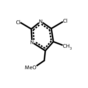 COCc1nc(Cl)nc(Cl)c1C